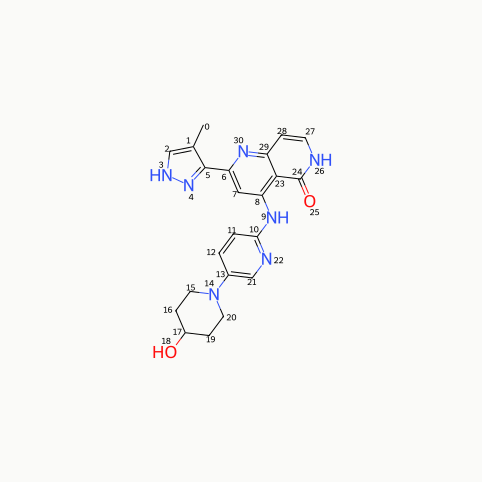 Cc1c[nH]nc1-c1cc(Nc2ccc(N3CCC(O)CC3)cn2)c2c(=O)[nH]ccc2n1